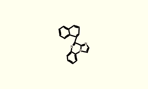 c1ccc2c(-c3nc4ccccc4n4ccnc34)cccc2c1